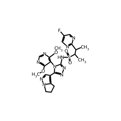 COc1ncnc(OC)c1-n1c(NS(=O)(=O)C(C)C(C)c2ncc(F)cn2)nnc1-c1cnn2c1CCC2